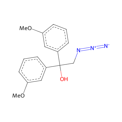 COc1cccc(C(O)(CN=[N+]=[N-])c2cccc(OC)c2)c1